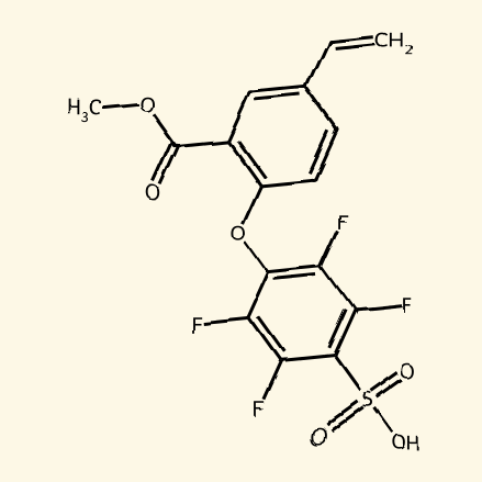 C=Cc1ccc(Oc2c(F)c(F)c(S(=O)(=O)O)c(F)c2F)c(C(=O)OC)c1